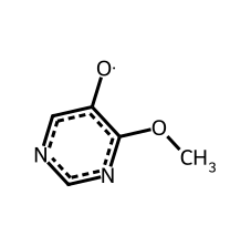 COc1ncncc1[O]